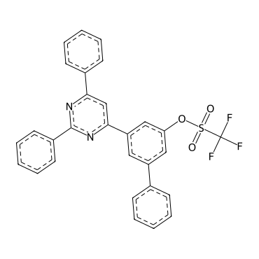 O=S(=O)(Oc1cc(-c2ccccc2)cc(-c2cc(-c3ccccc3)nc(-c3ccccc3)n2)c1)C(F)(F)F